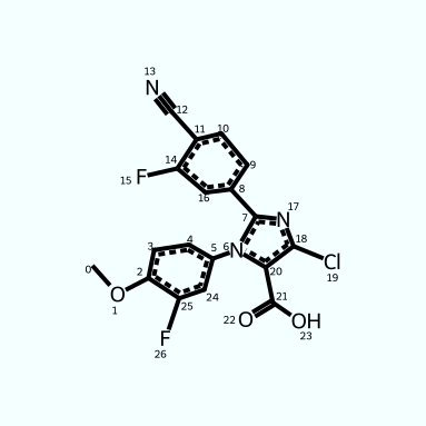 COc1ccc(-n2c(-c3ccc(C#N)c(F)c3)nc(Cl)c2C(=O)O)cc1F